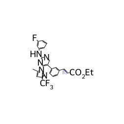 CCOC(=O)/C=C/c1cccc(-c2cnc(Nc3cccc(F)c3)nc2-n2nc(C(F)(F)F)cc2C)c1